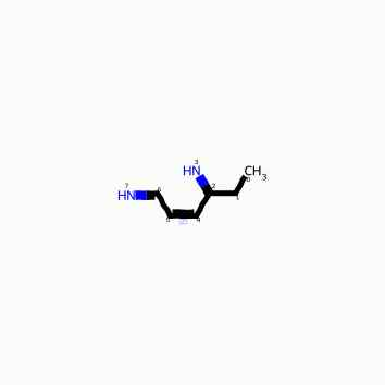 CCC(=N)/C=C\C=N